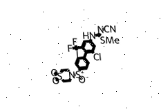 CS/C(=N\C#N)Nc1cc(Cl)c(-c2ccc([S+]([O-])N3CCS(=O)(=O)CC3)cc2)c(C(F)(F)I)c1